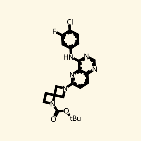 CC(C)(C)OC(=O)N1CCC12CN(c1ccc3ncnc(Nc4ccc(Cl)c(F)c4)c3n1)C2